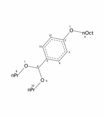 CCCCCCCCOc1ccc(C(OCCC)OCCC)cc1